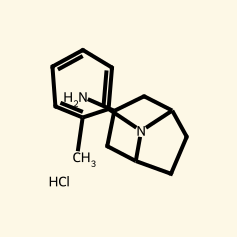 Cc1ccccc1N1C2CCC1CC(N)C2.Cl